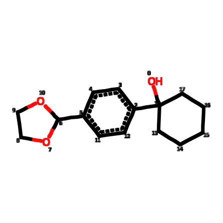 OC1(c2ccc(C3OCCO3)cc2)CCCCC1